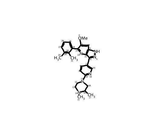 COc1cc2[nH]nc(-c3ccc(N4CCN(C)C(C)C4)nc3)c2nc1-c1cccc(C)c1C